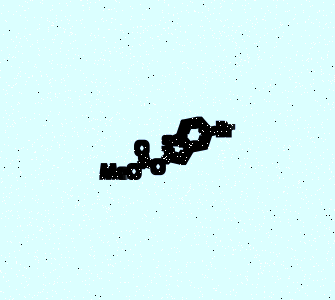 COC(=O)Oc1cc2cc(Br)ccc2s1